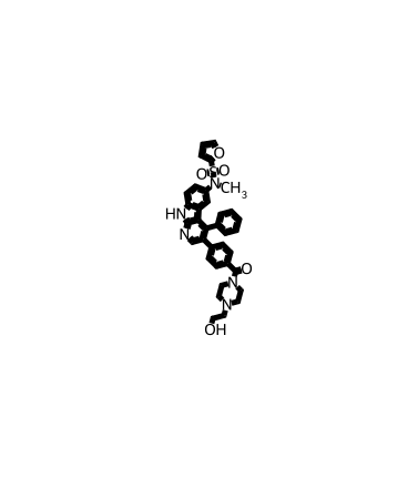 CN(c1ccc2[nH]c3ncc(-c4ccc(C(=O)N5CCN(CCO)CC5)cc4)c(-c4ccccc4)c3c2c1)S(=O)(=O)c1ccco1